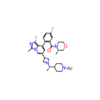 CC(=O)N1CCC([C@@H](C)N2CC(c3cc(-c4ccc(F)cc4C(=O)N4CCOC[C@H]4C)c4c(F)nc(C)n4c3)C2)CC1